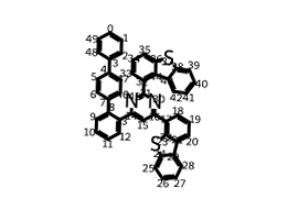 c1ccc(-c2ccc(-c3ccccc3-c3cc(-c4cccc5c4sc4ccccc45)nc(-c4cccc5sc6ccccc6c45)n3)cc2)cc1